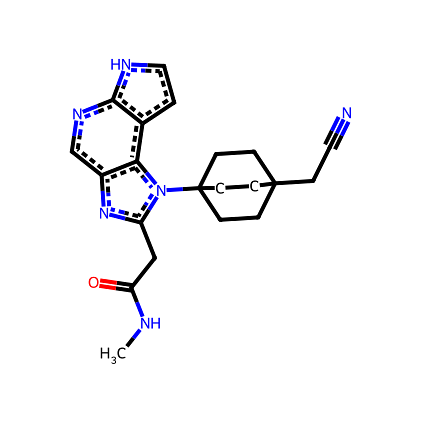 CNC(=O)Cc1nc2cnc3[nH]ccc3c2n1C12CCC(CC#N)(CC1)CC2